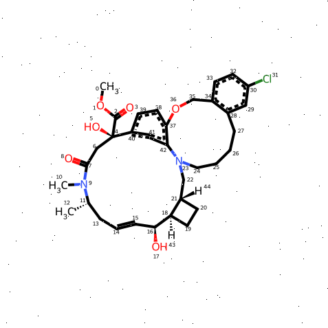 COC(=O)[C@@]1(O)CC(=O)N(C)[C@@H](C)C/C=C/[C@H](O)[C@@H]2CC[C@H]2CN2CCCCc3cc(Cl)ccc3COc3ccc1cc32